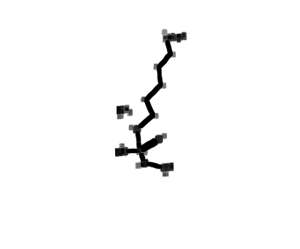 CCCCCCCCCCCCOP(=O)(O)OO.N